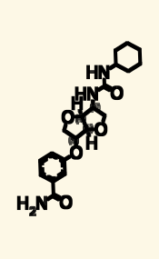 NC(=O)c1cccc(O[C@H]2CO[C@H]3[C@@H]2OC[C@@H]3NC(=O)NC2CCCCC2)c1